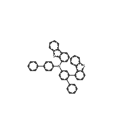 c1ccc(-c2ccc(N(c3ccc(-c4ccccc4)c(-c4cccc5sc6ccccc6c45)c3)c3cccc4c3sc3ccccc34)cc2)cc1